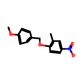 COc1ccc(COc2ccc([N+](=O)[O-])cc2C)cc1